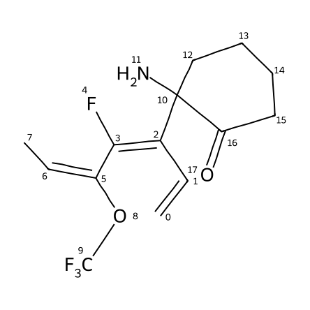 C=C/C(=C(F)\C(=C/C)OC(F)(F)F)C1(N)CCCCC1=O